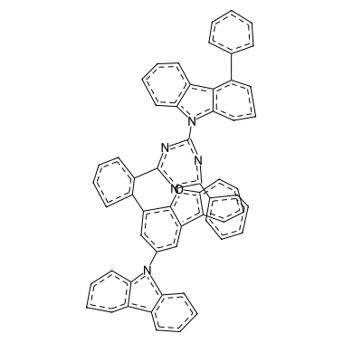 c1ccc(-c2nc(-c3ccccc3-c3cc(-n4c5ccccc5c5ccccc54)cc4c3oc3ccccc34)nc(-n3c4ccccc4c4c(-c5ccccc5)cccc43)n2)cc1